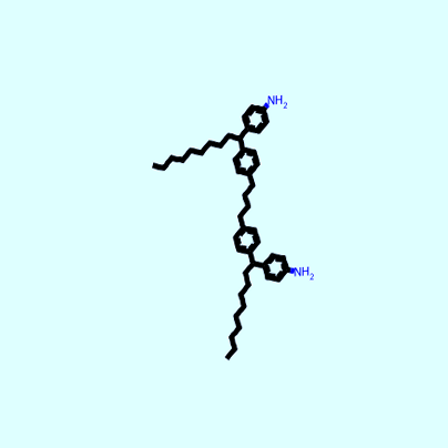 CCCCCCCCCC(c1ccc(N)cc1)c1ccc(CCCCc2ccc(C(CCCCCCCCC)c3ccc(N)cc3)cc2)cc1